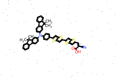 CC1(C)c2ccccc2-c2ccc(N(c3ccc(-c4cc5sc(-c6cc7sc(/C=C(/C#N)C(=O)O)cc7s6)cc5s4)cc3)c3ccc4c(c3)C(C)(C)c3ccccc3-4)cc21